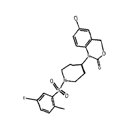 Cc1ccc(F)cc1S(=O)(=O)N1CCC(N2C(=O)OCc3cc(Cl)ccc32)CC1